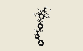 C=CC(=O)NC1C(C)(C)CN(S(=O)(=O)c2ccc(NC(=O)c3cc(-c4ccccc4)cs3)cc2)CC1(C)C